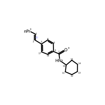 CCC/C=C/c1ccc(C(=O)NC2CCCCC2)cc1